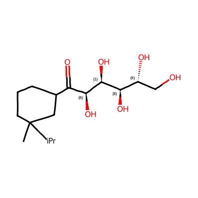 CC(C)C1(C)CCCC(C(=O)[C@H](O)[C@@H](O)[C@H](O)[C@H](O)CO)C1